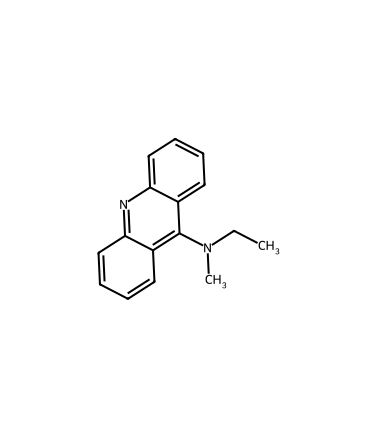 CCN(C)c1c2ccccc2nc2ccccc12